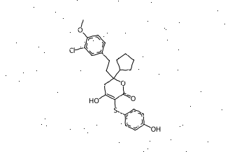 COc1ccc(CCC2(C3CCCC3)CC(O)=C(Sc3ccc(O)cc3)C(=O)O2)cc1Cl